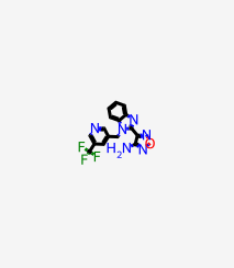 Nc1nonc1-c1nc2ccccc2n1Cc1cncc(C(F)(F)F)c1